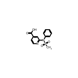 CS(=O)(=O)N(c1ccccc1)c1cc(C(=O)O)ccn1